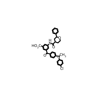 CN(c1ccc(Cl)cc1)c1ccc(C(=O)c2cc(NC(=O)C3CCOC(c4ccccc4)C3)cc(C(=O)O)c2)cc1